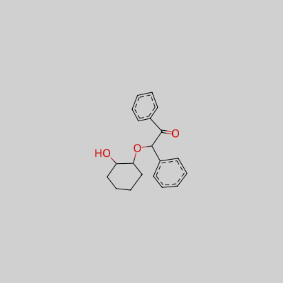 O=C(c1ccccc1)C(OC1CCCCC1O)c1ccccc1